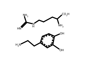 N=C(N)NCCCC(N)C(=O)O.NCCc1ccc(O)c(O)c1